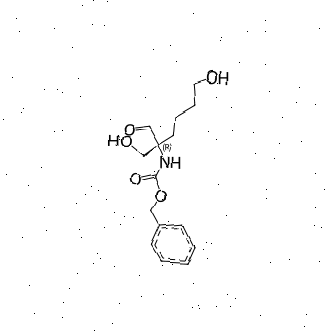 O=C[C@](CO)(CCCCO)NC(=O)OCc1ccccc1